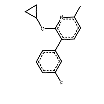 Cc1ccc(-c2cccc(F)c2)c(OC2CC2)n1